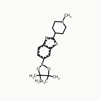 CN1CCC(c2nc3ccc(B4OC(C)(C)C(C)(C)O4)cc3s2)CC1